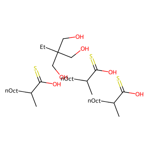 CCC(CO)(CO)CO.CCCCCCCCC(C)C(O)=S.CCCCCCCCC(C)C(O)=S.CCCCCCCCC(C)C(O)=S